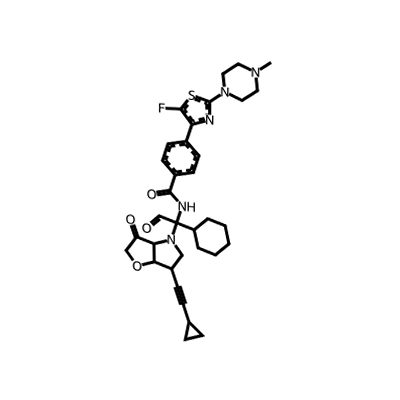 CN1CCN(c2nc(-c3ccc(C(=O)NC(C=O)(C4CCCCC4)N4CC(C#CC5CC5)C5OCC(=O)C54)cc3)c(F)s2)CC1